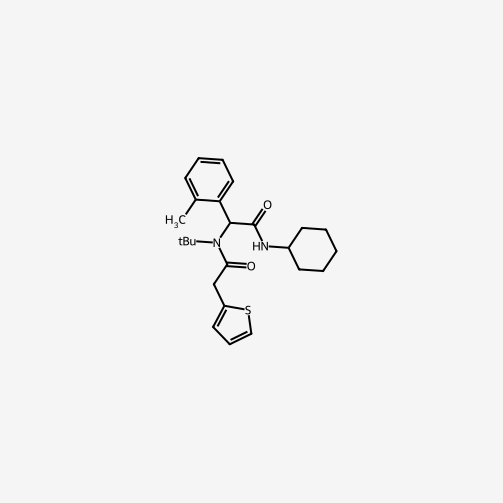 Cc1ccccc1C(C(=O)NC1CCCCC1)N(C(=O)Cc1cccs1)C(C)(C)C